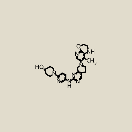 Cc1c(N2CCc3cnc(Nc4ccc(N5CCC(O)CC5)nc4)nc3C2)cnc2c1NCCO2